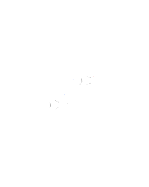 COc1cccc([C@H](C)NCC(O)CN[C@@H](C)c2cccc(OC)c2)c1